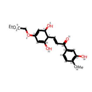 CCOC(=O)COC1=CC(O)C(C=CC(=O)c2ccc(OC)c(O)c2)C(O)=C1